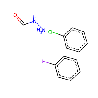 Clc1ccccc1.Ic1ccccc1.NNC=O